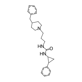 O=C(NCCCN1CCC(Cc2ccccc2)CC1)NC1CC1c1ccccc1